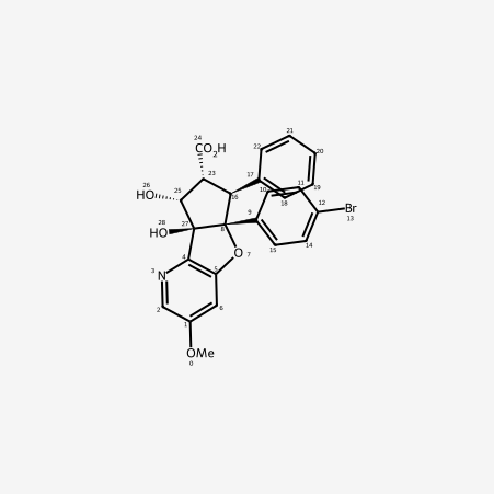 COc1cnc2c(c1)O[C@@]1(c3ccc(Br)cc3)[C@H](c3ccccc3)[C@@H](C(=O)O)[C@@H](O)[C@@]21O